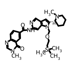 CN1CCCC[C@@H]1c1cc2cnc(NC(=O)c3ccc4ncn(C)c(=O)c4c3)cc2n1COCC[Si](C)(C)C